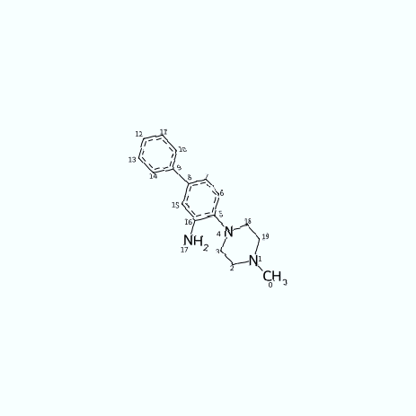 CN1CCN(c2ccc(-c3ccccc3)cc2N)CC1